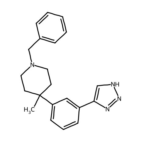 CC1(c2cccc(-c3c[nH]nn3)c2)CCN(Cc2ccccc2)CC1